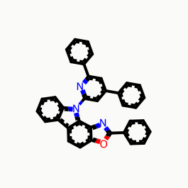 c1ccc(-c2cc(-c3ccccc3)nc(-n3c4ccccc4c4ccc5oc(-c6ccccc6)nc5c43)c2)cc1